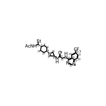 CCC(NC(C)=O)[C@H]1CC[C@@H](N2CC(NC(=O)CNc3ncnc4ccc(C(F)(F)F)cc34)C2)CC1